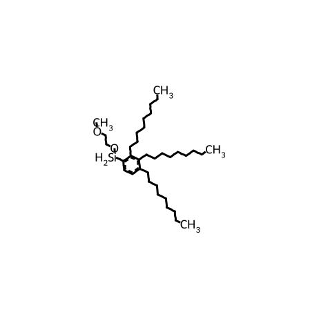 CCCCCCCCCc1ccc([SiH2]OCCOC)c(CCCCCCCCC)c1CCCCCCCCC